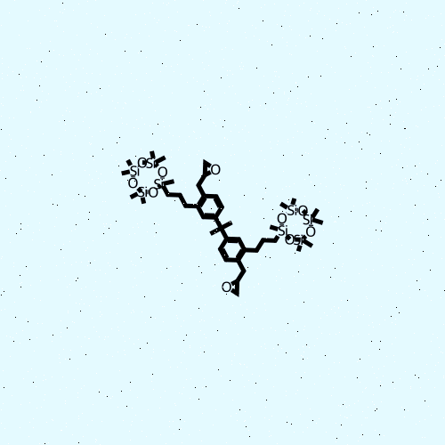 CC(C)(c1ccc(CC2CO2)c(CCC[Si]2(C)O[Si](C)(C)O[Si](C)(C)O[Si](C)(C)O2)c1)c1ccc(CC2CO2)c(CCC[Si]2(C)O[Si](C)(C)O[Si](C)(C)O[Si](C)(C)O2)c1